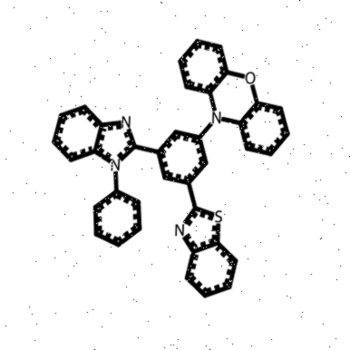 c1ccc(-n2c(-c3cc(-c4nc5ccccc5s4)cc(N4c5ccccc5Oc5ccccc54)c3)nc3ccccc32)cc1